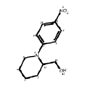 O=[N+]([O-])c1ccc(N2CCCCC2CO)cc1